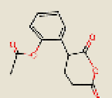 CC(=O)Oc1ccccc1C1CCC(=O)OC1=O